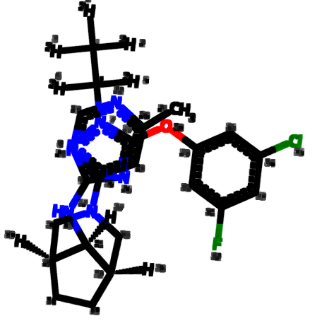 [2H]C([2H])([2H])C([2H])([2H])n1nc(N[C@H]2[C@@H]3CC[C@H]2CN(c2cc(C)ncn2)C3)nc1Oc1cc(F)cc(Cl)c1